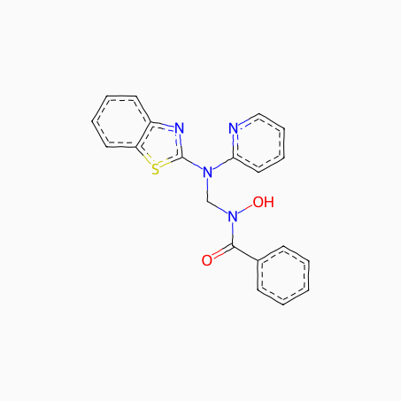 O=C(c1ccccc1)N(O)CN(c1ccccn1)c1nc2ccccc2s1